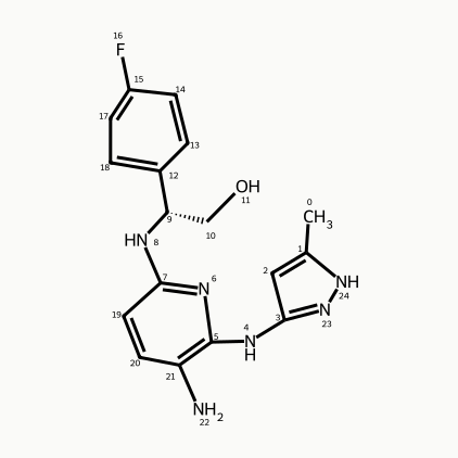 Cc1cc(Nc2nc(N[C@@H](CO)c3ccc(F)cc3)ccc2N)n[nH]1